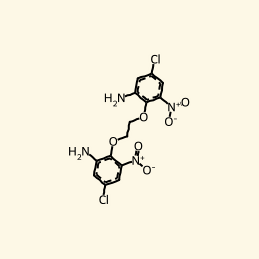 Nc1cc(Cl)cc([N+](=O)[O-])c1OCCOc1c(N)cc(Cl)cc1[N+](=O)[O-]